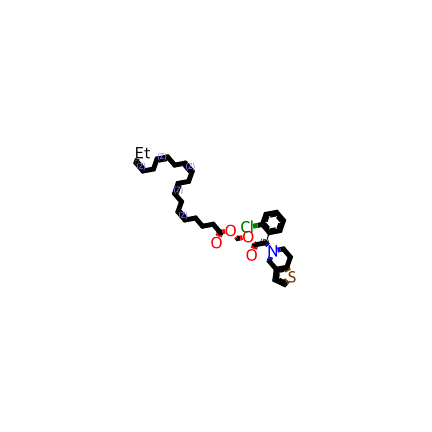 CC/C=C\C/C=C\C/C=C\C/C=C\C/C=C\CCCC(=O)OCOC(=O)[C@H](c1ccccc1Cl)N1CCc2sccc2C1